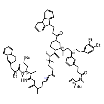 C=C[C@H](CCCC)N(C)C(=O)CCc1cccc([C@@H](CCc2ccc(CC)c(CC)c2)CC(C)[C@@H]2CC(C(=O)CCC3c4ccccc4-c4ccccc43)CCC2C(=C)C(I)C(C)(C)CCC(=C)/C=C/CCC(C)C(=C)CC(=N)C(C)[C@H](CCC(C)(C)C)N(C)C(=C)[C@@H](CC)CC2=CC3C=CC=CC3C=C2)c1